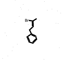 CC(Br)=CCc1ccccc1